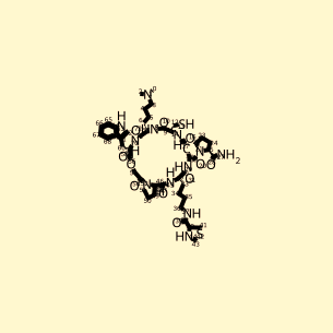 CN(C)CCCC[C@@H]1NC(=O)[C@H](CS)NC(=O)C[C@@H](C(=O)N2CCC[C@H]2C(N)=O)NC(=O)[C@H](CCCCNC(=O)C2CSCN2)NC(=O)[C@@H]2CCCN2C(=O)COC(=O)[C@H](Cc2c[nH]c3ccccc23)NC1=O